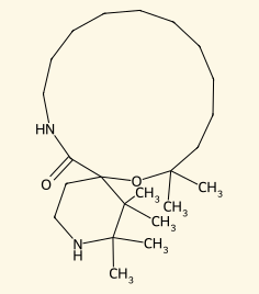 CC1(C)CCCCCCCCCCNC(=O)C2(CCNC(C)(C)C2(C)C)O1